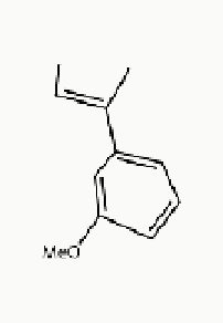 CC=C(C)c1cccc(OC)c1